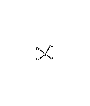 C[CH][Si](C(C)C)(C(C)C)C(C)C